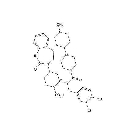 CCc1ccc(CC(C(=O)N2CCN(C3CCN(C)CC3)CC2)[C@H]2CC(N3CCc4ccccc4NC3=O)CCN2C(=O)O)cc1CC